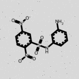 Nc1cccc(NS(=O)(=O)c2cc([N+](=O)[O-])ccc2[N+](=O)[O-])c1